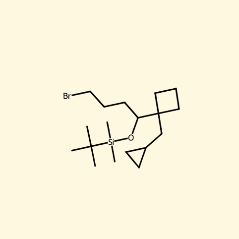 CC(C)(C)[Si](C)(C)OC(CCCBr)C1(CC2CC2)CCC1